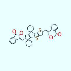 O=C1C(=O)c2ccccc2/C1=C/C1=CC2=C(c3sc4cc(/C=C5\COCC(=O)c6ccccc65)sc4c3C23CCCCC3)C12CCCCC2